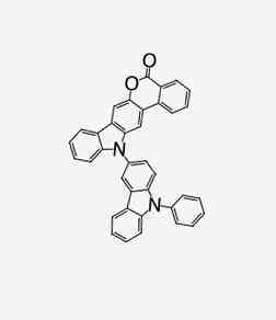 O=c1oc2cc3c4ccccc4n(-c4ccc5c(c4)c4ccccc4n5-c4ccccc4)c3cc2c2ccccc12